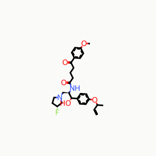 C=CC(C)Oc1ccc([C@@H](O)[C@@H](CN2CC[C@@H](F)C2)NC(=O)CCCC(=O)c2ccc(OC)cc2)cc1